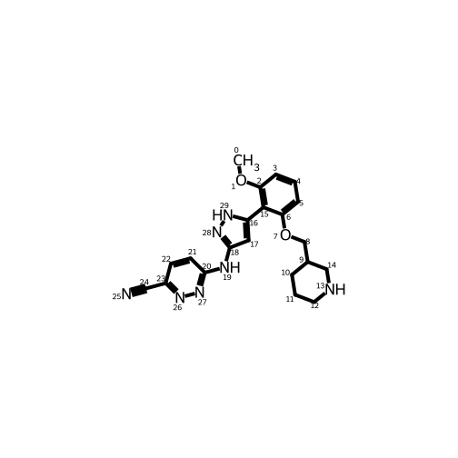 COc1cccc(OCC2CCCNC2)c1-c1cc(Nc2ccc(C#N)nn2)n[nH]1